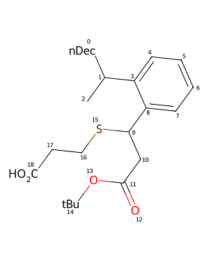 CCCCCCCCCCC(C)c1ccccc1C(CC(=O)OC(C)(C)C)SCCC(=O)O